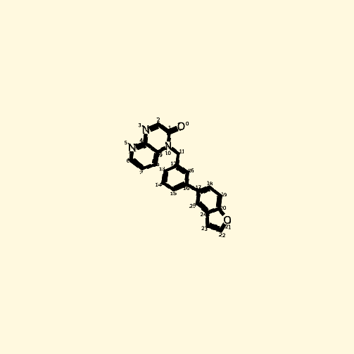 O=c1cnc2ncccc2n1Cc1cccc(-c2ccc3occc3c2)c1